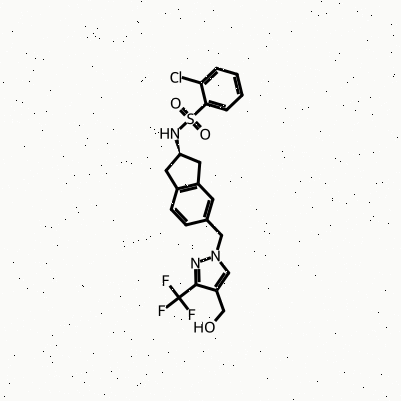 O=S(=O)(N[C@@H]1Cc2ccc(Cn3cc(CO)c(C(F)(F)F)n3)cc2C1)c1ccccc1Cl